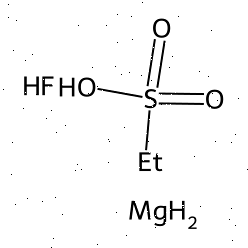 CCS(=O)(=O)O.F.[MgH2]